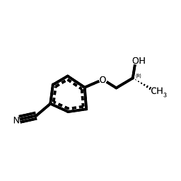 C[C@@H](O)COc1ccc(C#N)cc1